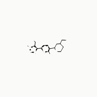 CCOC(=O)CC1CCOC(c2ccc(-c3nnn(C)c3CO)nc2C)C1